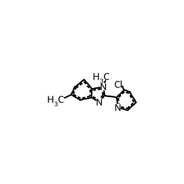 Cc1ccc2c(c1)nc(-c1ncccc1Cl)n2C